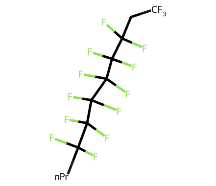 CCCC(F)(F)C(F)(F)C(F)(F)C(F)(F)C(F)(F)C(F)(F)CC(F)(F)F